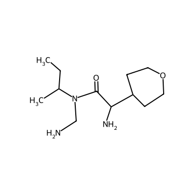 CCC(C)N(CN)C(=O)C(N)C1CCOCC1